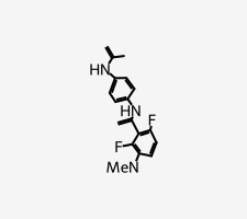 C=C(C)Nc1ccc(NC(=C)c2c(F)ccc(NC)c2F)cc1